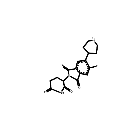 O=C1CCC(N2C(=O)c3cc(F)c(C4CCNCC4)cc3C2=O)C(=O)N1